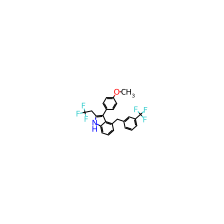 COc1ccc(-c2c(CC(F)(F)F)[nH]c3cccc(Cc4cccc(C(F)(F)F)c4)c23)cc1